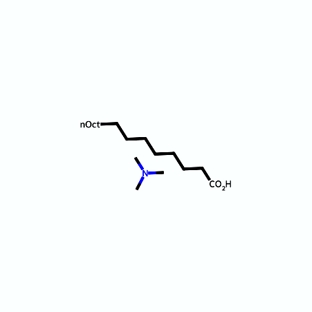 CCCCCCCCCCCCCCCC(=O)O.CN(C)C